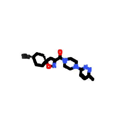 Cc1ccc(N2CCN(C(=O)C3=NO[C@]4(CC[C@@H](C(C)(C)C)CC4)C3)CC2)nn1